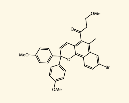 COCCC(=O)c1c2c(c3ccc(Br)cc3c1C)OC(c1ccc(OC)cc1)(c1ccc(OC)cc1)C=C2